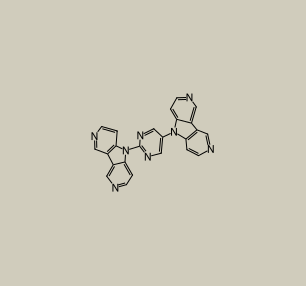 c1cc2c(cn1)c1cnccc1n2-c1cnc(-n2c3ccncc3c3cnccc32)nc1